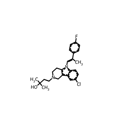 CC(=Cn1c2c(c3cc(Cl)ccc31)CN(CCC(C)(C)O)CC2)c1ccc(F)cc1